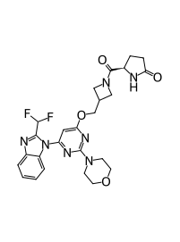 O=C1CC[C@H](C(=O)N2CC(COc3cc(-n4c(C(F)F)nc5ccccc54)nc(N4CCOCC4)n3)C2)N1